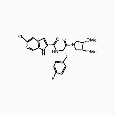 CO[C@H]1CN(C(=O)[C@H](Cc2ccc(F)cc2)NC(=O)c2cc3cc(Cl)ncc3[nH]2)C[C@H]1OC